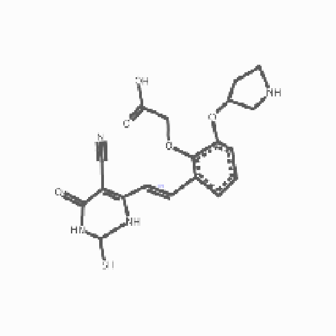 N#CC1=C(/C=C/c2cccc(OC3CCNC3)c2OCC(=O)O)NC(S)NC1=O